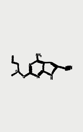 CCC[C@H](C)Oc1nc(N)c2cc(C#N)[nH]c2n1